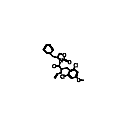 C=CCC(Cc1c(Cl)cc(OC)cc1Cl)C(=O)N1C(=O)OCC1Cc1ccccc1